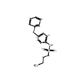 CCCCS(=O)(=O)Nc1ccc(Cc2c[c]ccc2)cc1